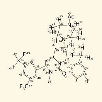 [2H]C([2H])([2H])c1cc(F)ccc1[C@H]1C[C@@H](N2C([2H])([2H])C([2H])([2H])N(C(C)=O)C([2H])([2H])C2([2H])[2H])CCN1C(=O)N(C)[C@H](C)c1cc(C(C)(F)F)cc(C(F)(F)F)c1